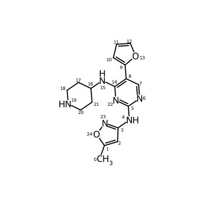 Cc1cc(Nc2ncc(-c3ccco3)c(NC3CCNCC3)n2)no1